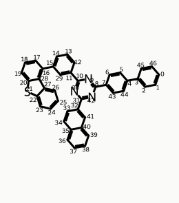 c1ccc(-c2ccc(-c3nc(-c4cccc(-c5cccc6sc7ccccc7c56)c4)nc(-c4ccc5ccccc5c4)n3)cc2)cc1